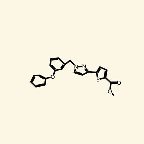 COC(=O)c1ccc(-c2ccn(Cc3cccc(Oc4ccccc4)c3)n2)s1